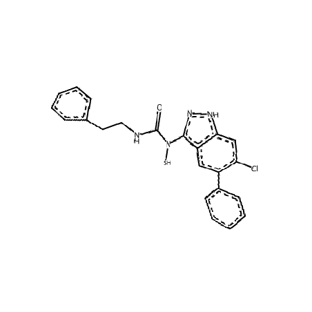 O=C(NCCc1ccccc1)N(S)c1n[nH]c2cc(Cl)c(-c3ccccc3)cc12